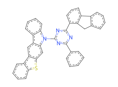 c1ccc(-c2nc(-c3cccc4c3Cc3ccccc3-4)nc(-n3c4ccccc4c4cc5c(cc43)sc3ccccc35)n2)cc1